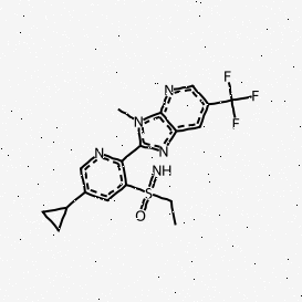 CCS(=N)(=O)c1cc(C2CC2)cnc1-c1nc2cc(C(F)(F)F)cnc2n1C